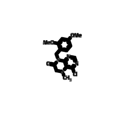 COc1ccc(CN2C(=O)CN(C)c3c(Cl)ncnc32)c(OC)c1